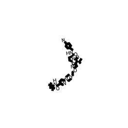 CC(C)[C@H](C(=O)N1CCC[C@H]1C(=O)NCc1ccc(C#N)cc1)c1cc(OCCN2CCN(c3ccc(C(=O)NC4C(C)(C)CC4(C)C)cn3)CC2)no1